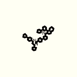 c1ccc(-c2ccc(-c3cc(-c4ccccc4)nc(-c4ccc(-c5cccc(-c6nc7c(-c8ccccc8)cccc7c7c6ccc6ccccc67)c5)cc4)n3)cc2)cc1